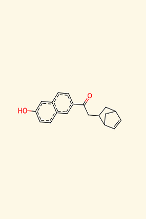 O=C(CC1CC2C=CC1C2)c1ccc2cc(O)ccc2c1